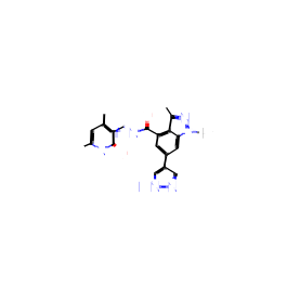 Cc1cc(C)c(CNC(=O)c2cc(-c3cn[nH]c3)cc3c2c(C)nn3C(C)C)c(=O)[nH]1